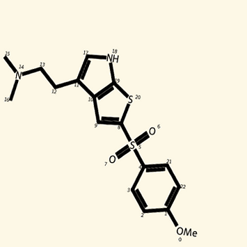 COc1ccc(S(=O)(=O)c2cc3c(CCN(C)C)c[nH]c3s2)cc1